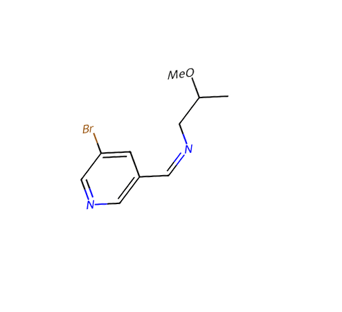 COC(C)C/N=C\c1cncc(Br)c1